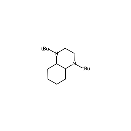 CC(C)(C)N1CCN(C(C)(C)C)C2CCCCC21